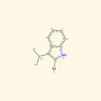 [2H]c1[nH]c2ccccc2c1C(C)C